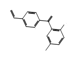 C=Cc1ccc(C(=O)c2cc(C)ccc2Br)cc1